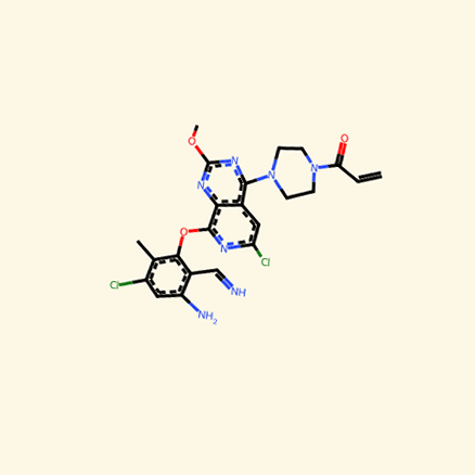 C=CC(=O)N1CCN(c2nc(OC)nc3c(Oc4c(C)c(Cl)cc(N)c4C=N)nc(Cl)cc23)CC1